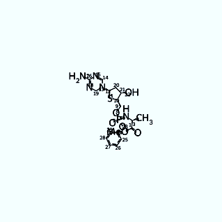 COC(=O)[C@H](C)NP(=O)(OC[C@H]1S[C@@H](N2C=NC(N)=NC2)C[C@H]1O)Oc1ccccc1